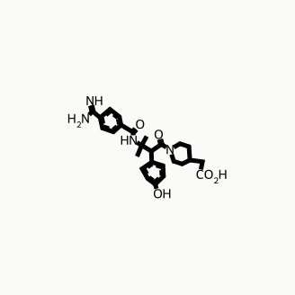 CC(C)(NC(=O)c1ccc(C(=N)N)cc1)C(C(=O)N1CCC(CC(=O)O)CC1)c1ccc(O)cc1